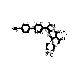 CC(=O)c1c(N2CCS(=O)(=O)CC2)nc2c(-c3ccc(-c4ccc(C#N)cc4)nc3)cnn2c1N